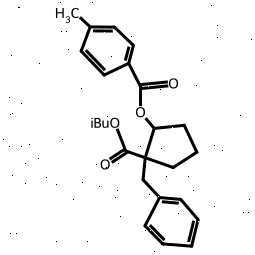 Cc1ccc(C(=O)OC2CCCC2(Cc2ccccc2)C(=O)OCC(C)C)cc1